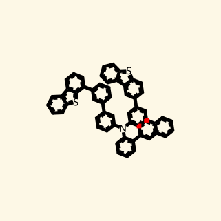 c1cc(-c2cccc(N(c3cccc(-c4ccc5sc6ccccc6c5c4)c3)c3ccccc3-c3ccc4ccccc4c3)c2)cc(-c2cccc3c2sc2ccccc23)c1